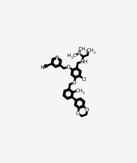 CCC(NCc1cc(Cl)c(OCc2cccc(-c3ccc4c(c3)OCCO4)c2C)cc1OCc1cncc(C#N)c1)N(C)C